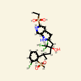 CCS(=O)(=O)c1cc2cc(CC(O)(CC(C)(C)c3cccc(F)c3S(C)(=O)=O)C(F)(F)F)[nH]c2cn1